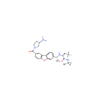 CN(C)[C@@H]1CCN(C(=O)c2ccc3oc4cc([C@H](N[C@@H](CC(C)(C)F)C(=O)NC5(C#N)CC5)C(F)(F)F)ccc4c3c2)C1